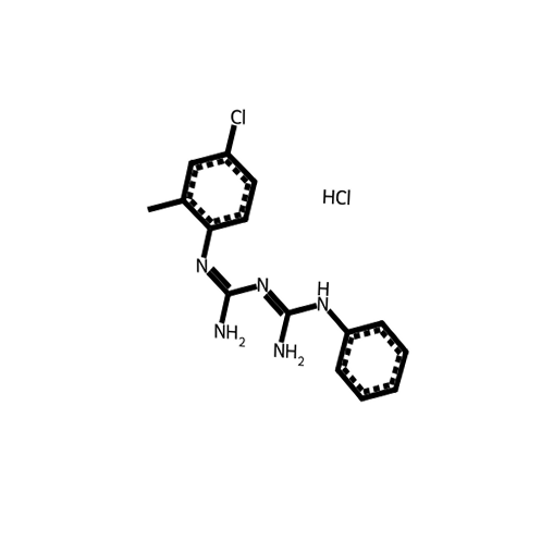 Cc1cc(Cl)ccc1/N=C(N)\N=C(/N)Nc1ccccc1.Cl